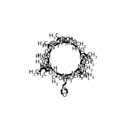 C/C=C/C[C@@H](C)C[C@@]1(NO)C(=O)N[C@H](CC)C(=O)N(C)[C@H](COCCN2CCOCC2)C(=O)N(C)[C@@H](CC(C)(C)OC)C(=O)N[C@H](C(C)C)C(=O)N(C)[C@H](CC(C)C)C(=O)N[C@H](C)C(=O)N[C@@H](C)C(=O)N(C)[C@@H](CC(C)C)C(=O)N(C)[C@@H](CC(C)C)C(=O)N(C)[C@H](C(C)C)C(=O)N1C